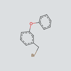 BrCc1cccc(Oc2ccccc2)c1